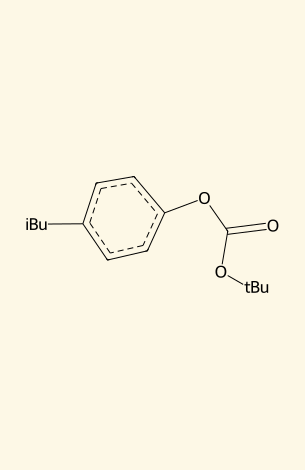 CCC(C)c1ccc(OC(=O)OC(C)(C)C)cc1